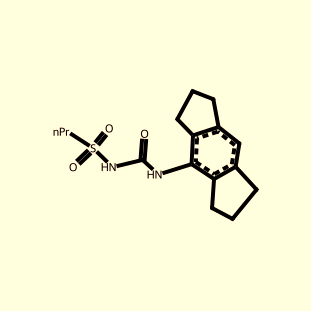 CCCS(=O)(=O)NC(=O)Nc1c2c(cc3c1CCC3)CCC2